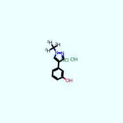 Cl.Cl.[2H]C([2H])([2H])n1cc(-c2cccc(O)c2)cn1